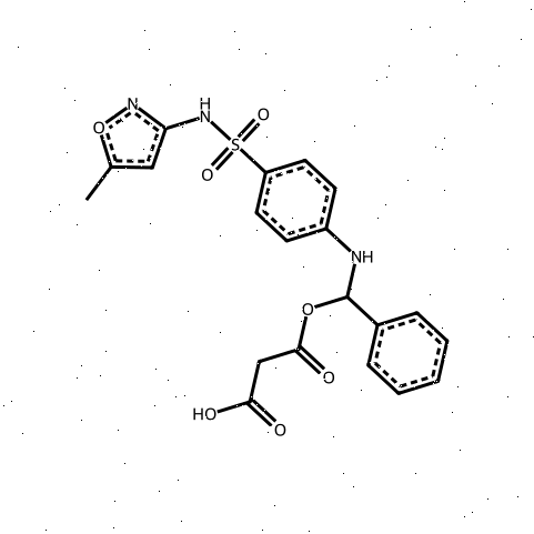 Cc1cc(NS(=O)(=O)c2ccc(NC(OC(=O)CC(=O)O)c3ccccc3)cc2)no1